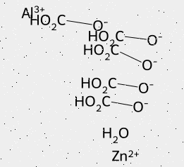 O.O=C([O-])O.O=C([O-])O.O=C([O-])O.O=C([O-])O.O=C([O-])O.[Al+3].[Zn+2]